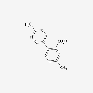 Cc1ccc(-c2ccc(C)nc2)c(C(=O)O)c1